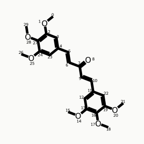 COc1cc(C=CC(=O)C=Cc2cc(OC)c(OC)c(OC)c2)cc(OC)c1OC